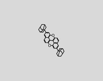 c1cc2cc(C34CC5CC(CC(C5)C3)C4)cc3oc4ccc5cc(C67CC8CC(CC(C8)C6)C7)cc6oc1c(c23)-c4c56